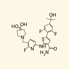 CC(C)(O)c1cc(F)c(-c2cc(C(N)=O)c(Nc3ccc(CN4CCS(O)(O)CC4)c(F)n3)s2)c(F)c1